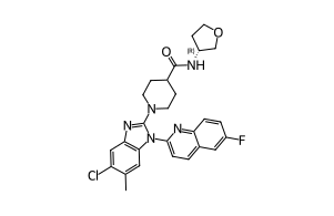 Cc1cc2c(cc1Cl)nc(N1CCC(C(=O)N[C@@H]3CCOC3)CC1)n2-c1ccc2cc(F)ccc2n1